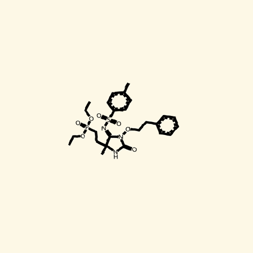 CCOP(=O)(CCC1(C)NC(=O)N(OCCc2ccccc2)C1=NS(=O)(=O)c1ccc(C)cc1)OCC